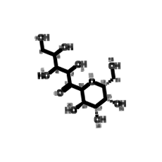 O=C(C(O)C(O)C(O)CO)C1O[C@H](CO)[C@H](O)[C@H](O)[C@H]1O